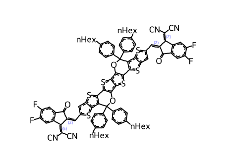 [C-]#[N+]/C(C#N)=C1\C(=C\c2cc3sc4c(c3s2)C(c2ccc(CCCCCC)cc2)(c2ccc(CCCCCC)cc2)Oc2c-4sc3c4c(sc23)-c2sc3cc(/C=C5\C(=O)c6cc(F)c(F)cc6\C5=C(\C#N)[N+]#[C-])sc3c2C(c2ccc(CCCCCC)cc2)(c2ccc(CCCCCC)cc2)O4)C(=O)c2cc(F)c(F)cc21